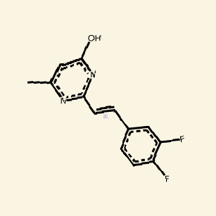 Cc1cc(O)nc(/C=C/c2ccc(F)c(F)c2)n1